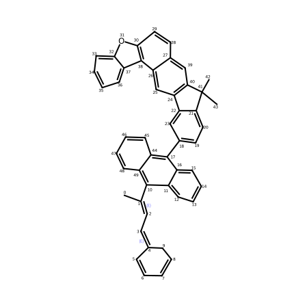 C/C(=C\C=C1\C=CC=CC1)c1c2ccccc2c(-c2ccc3c(c2)-c2cc4c(ccc5oc6ccccc6c54)cc2C3(C)C)c2ccccc12